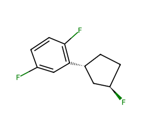 Fc1ccc(F)c([C@@H]2CC[C@@H](F)C2)c1